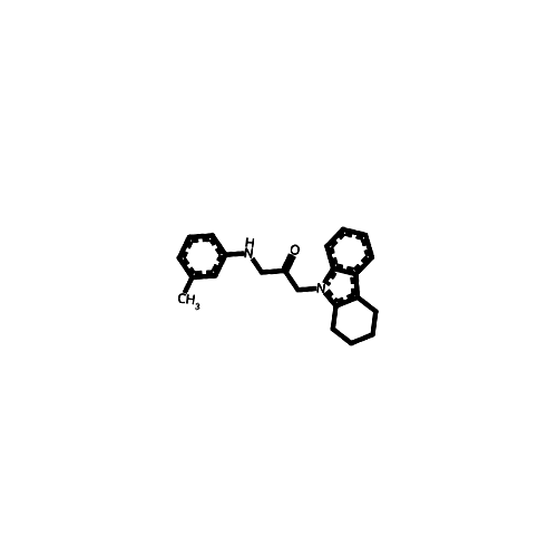 Cc1cccc(NCC(=O)Cn2c3c(c4ccccc42)CCCC3)c1